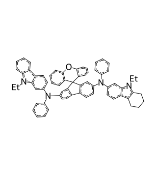 CCn1c2c(c3ccc(N(c4ccccc4)c4ccc5c(c4)C4(c6ccccc6Oc6ccccc64)c4cc(N(c6ccccc6)c6ccc7c8ccccc8n(CC)c7c6)ccc4-5)cc31)CCCC2